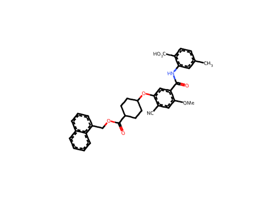 COc1cc(C#N)c(OC2CCC(C(=O)OCc3cccc4ccccc34)CC2)cc1C(=O)Nc1cc(C)ccc1C(=O)O